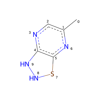 Cc1cnc2c(n1)SNN2